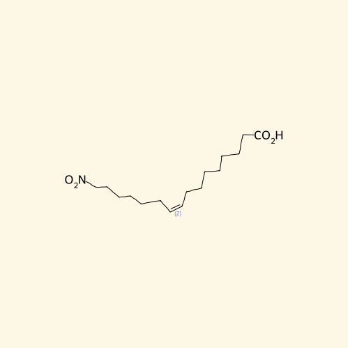 O=C(O)CCCCCCC/C=C\CCCCCC[N+](=O)[O-]